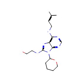 CC(C)=CCNc1ncnc2c1nc(NCCO)n2C1CCCCO1